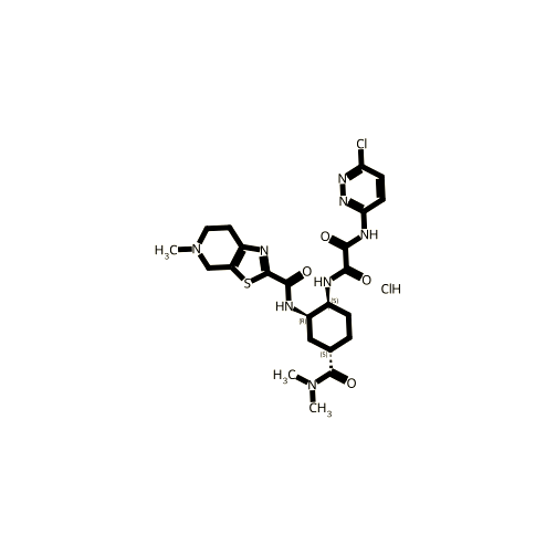 CN1CCc2nc(C(=O)N[C@@H]3C[C@@H](C(=O)N(C)C)CC[C@@H]3NC(=O)C(=O)Nc3ccc(Cl)nn3)sc2C1.Cl